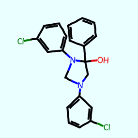 OC1(c2ccccc2)CN(c2cccc(Cl)c2)CN1c1cccc(Cl)c1